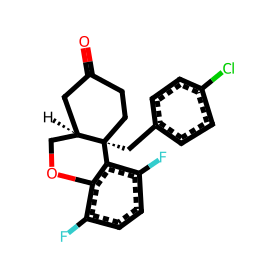 O=C1CC[C@@]2(Cc3ccc(Cl)cc3)c3c(F)ccc(F)c3OC[C@H]2C1